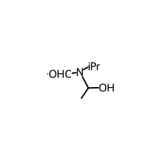 CC(C)N([C]=O)C(C)O